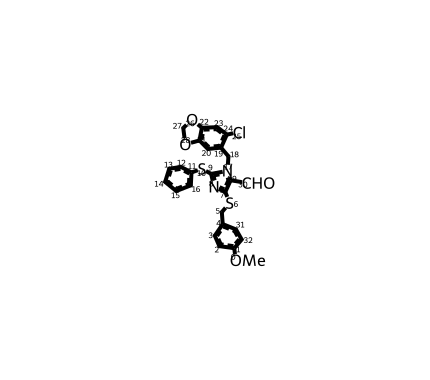 COc1ccc(CSc2nc(Sc3ccccc3)n(Cc3cc4c(cc3Cl)OCO4)c2C=O)cc1